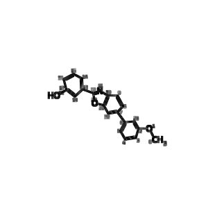 COc1cccc(-c2ccc3nc(-c4cccc(O)c4)oc3c2)c1